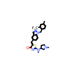 Cc1ccc(Cn2ncc3cc(/C=C4\SC(N(C)C5CCN(C)C5)=NC4=O)ccc32)c(C(F)(F)F)c1